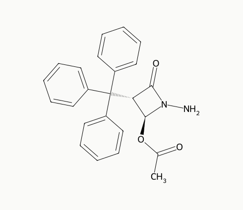 CC(=O)O[C@H]1[C@H](C(c2ccccc2)(c2ccccc2)c2ccccc2)C(=O)N1N